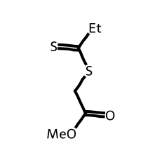 CCC(=S)SCC(=O)OC